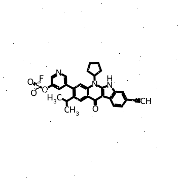 C#Cc1ccc2c(c1)[nH]c1c2c(=O)c2cc(C(C)C)c(-c3cncc(OS(=O)(=O)F)c3)cc2n1C1CCCC1